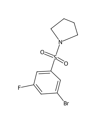 O=S(=O)(c1cc(F)cc(Br)c1)N1CCCC1